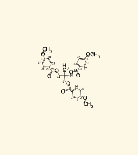 COc1ccc(C(=O)OCC(C)(COC(=O)c2ccc(OC)cc2)COC(=O)c2ccc(OC)cc2)cc1